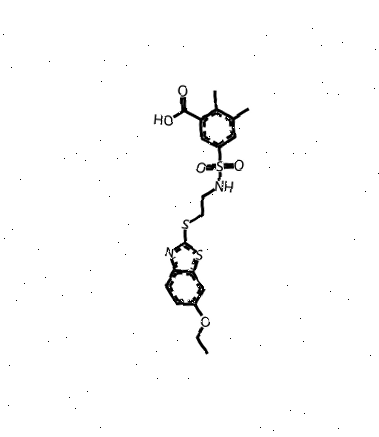 CCOc1ccc2nc(SCCNS(=O)(=O)c3cc(C)c(C)c(C(=O)O)c3)sc2c1